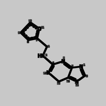 C1=NC2=NC(NCc3ccco3)=NCC2=N1